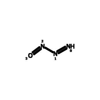 N=NN=O